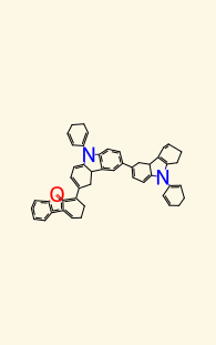 C1=CC(N2C3=CC=C(c4ccc5c(c4)C4CC(C6=c7oc8ccccc8c7=CCC6)=CC=C4N5C4=CCCC=C4)CC3C3=C2CCC=C3)=CCC1